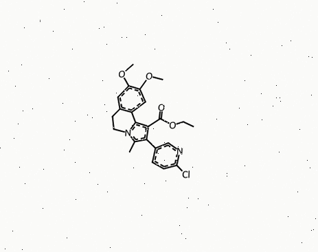 CCOC(=O)c1c(-c2ccc(Cl)nc2)c(C)n2c1-c1cc(OC)c(OC)cc1CC2